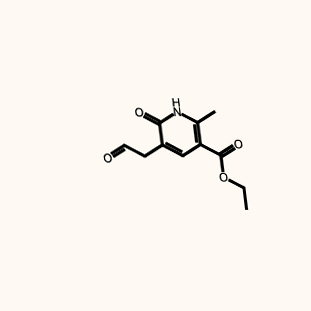 CCOC(=O)c1cc(CC=O)c(=O)[nH]c1C